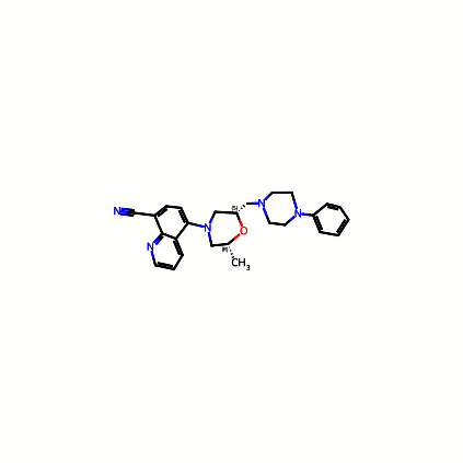 C[C@@H]1CN(c2ccc(C#N)c3ncccc23)C[C@H](CN2CCN(c3ccccc3)CC2)O1